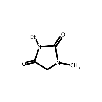 [CH2]CN1C(=O)CN(C)C1=O